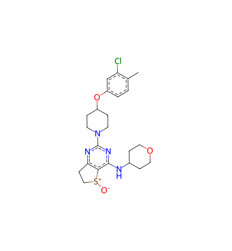 Cc1ccc(OC2CCN(c3nc4c(c(NC5CCOCC5)n3)[S+]([O-])CC4)CC2)cc1Cl